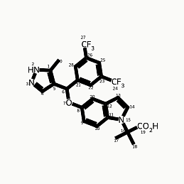 Cc1[nH]ncc1C(Oc1ccc2c(ccn2C(C)(C)C(=O)O)c1)c1cc(C(F)(F)F)cc(C(F)(F)F)c1